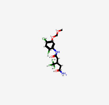 COCOc1cc(NC(=O)CC(CC(N)=O)C(F)(F)F)c(F)cc1Cl